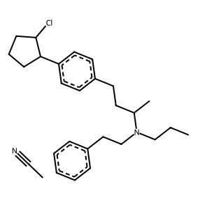 CC#N.CCCN(CCc1ccccc1)C(C)CCc1ccc(C2CCCC2Cl)cc1